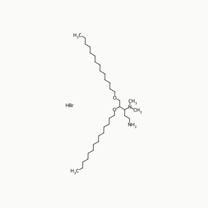 Br.CCCCCCCCCCCCCCOCC(OCCCCCCCCCCCCCC)C(CCN)N(C)C